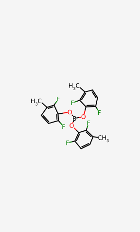 Cc1ccc(F)c(OB(Oc2c(F)ccc(C)c2F)Oc2c(F)ccc(C)c2F)c1F